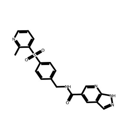 Cc1ncccc1S(=O)(=O)c1ccc(CNC(=O)c2cnc3[nH]ncc3c2)cc1